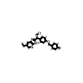 CCOC(c1ccc(OCc2ccc(F)cc2)cc1)c1nc2cc(CI)cnc2[nH]1